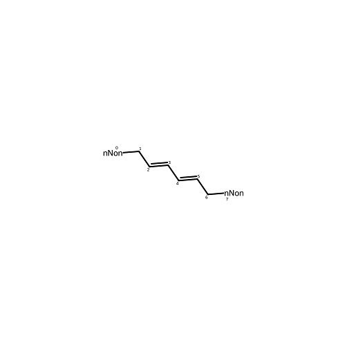 CCCCCCCCCCC=CC=CCCCCCCCCCC